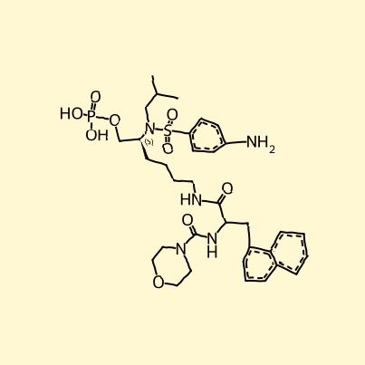 CC(C)CN([C@@H](CCCCNC(=O)C(Cc1cccc2ccccc12)NC(=O)N1CCOCC1)COP(=O)(O)O)S(=O)(=O)c1ccc(N)cc1